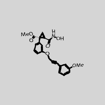 COC(=O)[C@]1(c2cccc(OCC#Cc3cccc(OC)c3)c2)C[C@H]1C(=O)NO